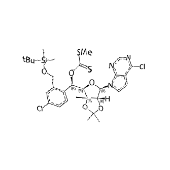 CSC(=S)O[C@H](c1ccc(Cl)cc1CO[Si](C)(C)C(C)(C)C)[C@H]1O[C@@H](n2ccc3c(Cl)ncnc32)[C@@H]2OC(C)(C)O[C@]12C